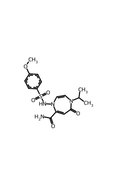 COc1ccc(S(=O)(=O)NN2C=CN(C(C)C)C(=O)C=C2C(N)=O)cc1